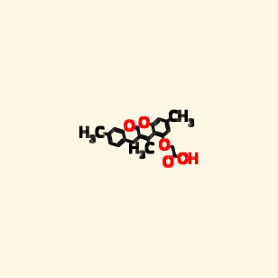 Cc1ccc(Cc2c(C)c3c(OCC(=O)O)cc(C)cc3oc2=O)cc1